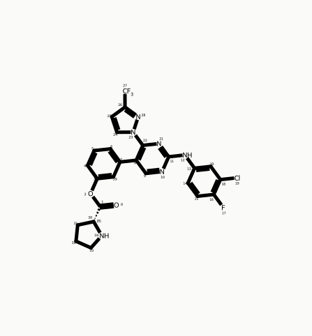 O=C(Oc1cccc(-c2cnc(Nc3ccc(F)c(Cl)c3)nc2-n2ccc(C(F)(F)F)n2)c1)[C@H]1CCCN1